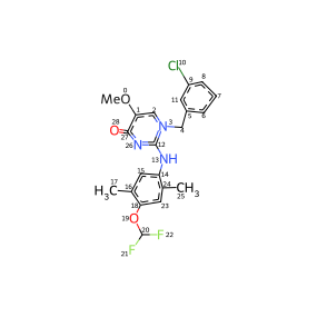 COc1cn(Cc2cccc(Cl)c2)c(Nc2cc(C)c(OC(F)F)cc2C)nc1=O